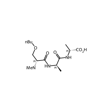 CCCCOC[C@@H](NC)C(=O)N[C@H](C)C(=O)N[C@H](C)C(=O)O